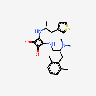 Cc1cccc(C)c1C[C@@H](CNc1c(N[C@@H](C)Cc2ccsc2)c(=O)c1=O)N(C)C